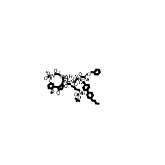 CCCCc1ccc(-c2ccc(C(=O)N(C)[C@H](COCc3ccccc3)C(=O)N[C@H](N)C(=O)N[C@@H](CCCCNC(=O)OC(C)(C)C)C(=O)N(C)[C@@H]3C(=O)N[C@@H](C)C(=O)N[C@H](C(=O)OC)Cc4ccc(OC)c(c4)-c4cc3ccc4OC)cc2)cc1